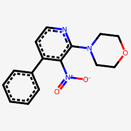 O=[N+]([O-])c1c(-c2ccccc2)ccnc1N1CCOCC1